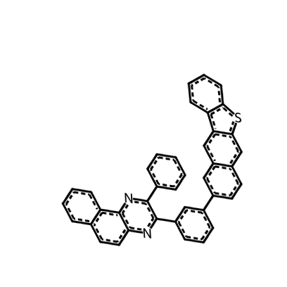 c1ccc(-c2nc3c(ccc4ccccc43)nc2-c2cccc(-c3ccc4cc5sc6ccccc6c5cc4c3)c2)cc1